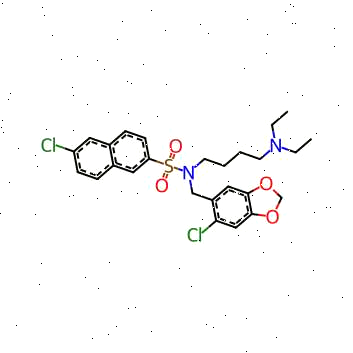 CCN(CC)CCCCN(Cc1cc2c(cc1Cl)OCO2)S(=O)(=O)c1ccc2cc(Cl)ccc2c1